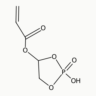 C=CC(=O)OC1COP(=O)(O)O1